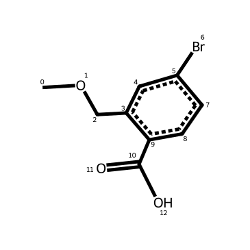 COCc1cc(Br)ccc1C(=O)O